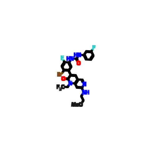 COCCNc1cc2c(cn1)cc(-c1cc(NC(=O)Nc3cccc(F)c3)c(F)cc1Br)c(=O)n2CC(F)(F)F